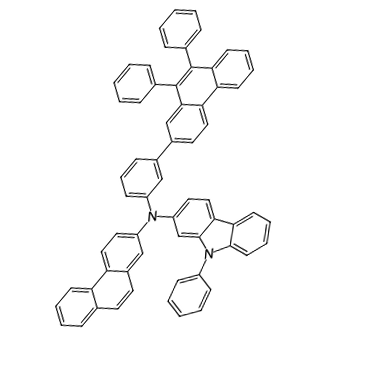 c1ccc(-c2c(-c3ccccc3)c3cc(-c4cccc(N(c5ccc6c(ccc7ccccc76)c5)c5ccc6c7ccccc7n(-c7ccccc7)c6c5)c4)ccc3c3ccccc23)cc1